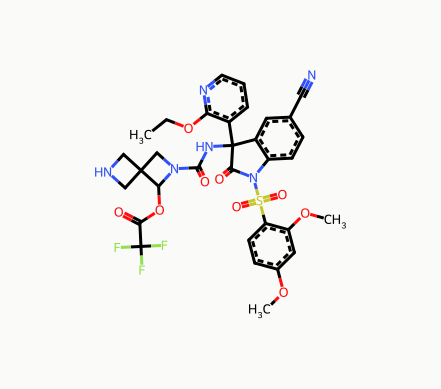 CCOc1ncccc1C1(NC(=O)N2CC3(CNC3)C2OC(=O)C(F)(F)F)C(=O)N(S(=O)(=O)c2ccc(OC)cc2OC)c2ccc(C#N)cc21